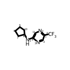 FC(F)(F)c1cnc(NC2CCCC2)cn1